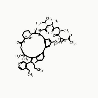 CCc1ccncc1-c1c2c3cc(ccc3n1CC)-c1cc(O)cc(c1)C[C@H](NC(=O)[C@H](C(C)C)N(C)C(=O)CN(C)C(=O)[C@H]1N[C@H]1C(C)=O)C(=O)N1CCC[C@H](N1)C(=O)OCC(C)(C)C2